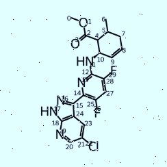 COC(=O)C1C(C)CC=C[C@H]1Nc1nc(-c2n[nH]c3ncc(Cl)cc23)c(F)cc1F